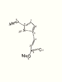 COC(=O)C=Cc1ccc(OC)s1